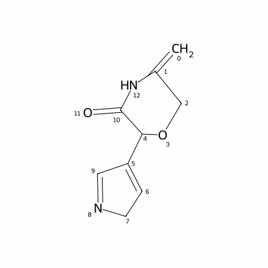 C=C1COC(C2=CCN=C2)C(=O)N1